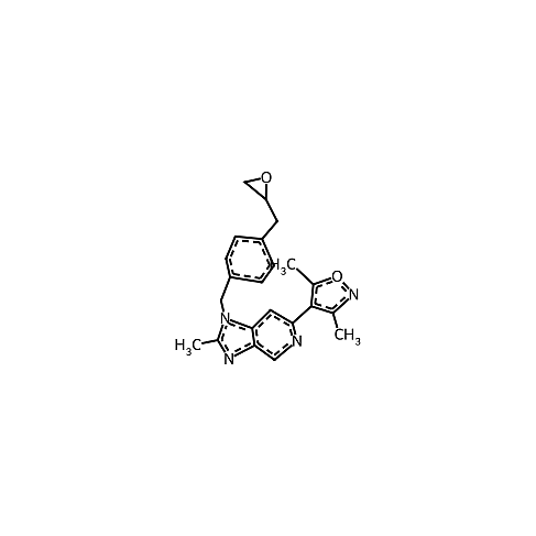 Cc1noc(C)c1-c1cc2c(cn1)nc(C)n2Cc1ccc(CC2CO2)cc1